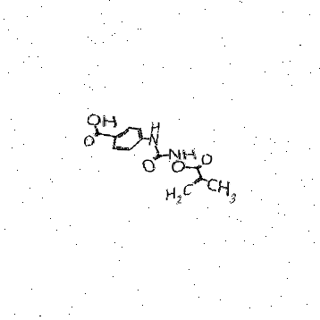 C=C(C)C(=O)ONC(=O)Nc1ccc(C(=O)O)cc1